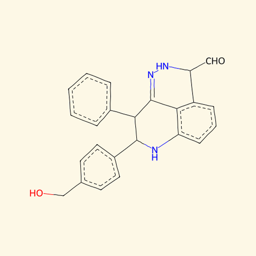 O=CC1NN=C2c3c(cccc31)NC(c1ccc(CO)cc1)C2c1ccccc1